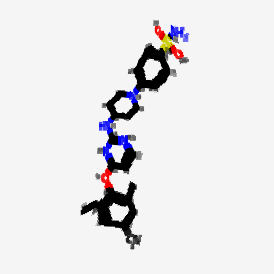 Cc1cc(C#N)cc(C)c1Oc1ccnc(NC2CCN(c3ccc(S(N)(=O)=O)cc3)CC2)n1